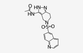 CC(=O)Nc1[nH]nc2c1CN(S(=O)(=O)c1ccc3ncccc3c1)CC2